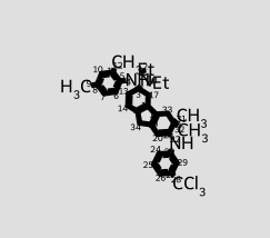 CCN(CC)C1(Nc2ccc(C)cc2C)C=CC2=C(C1)C1=C(C=C(Nc3cccc(C(Cl)(Cl)Cl)c3)C(C)(C)C1)C2